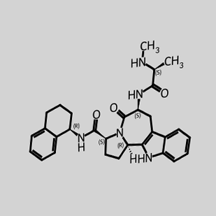 CN[C@@H](C)C(=O)N[C@H]1Cc2c([nH]c3ccccc23)[C@H]2CC[C@@H](C(=O)N[C@@H]3CCCc4ccccc43)N2C1=O